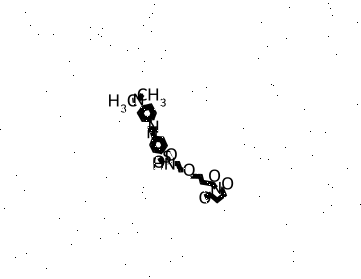 CN(C)c1ccc(/N=N/c2ccc(S(=O)(=O)NCCOCCCC(=O)N3C(=O)CCC3=O)cc2)cc1